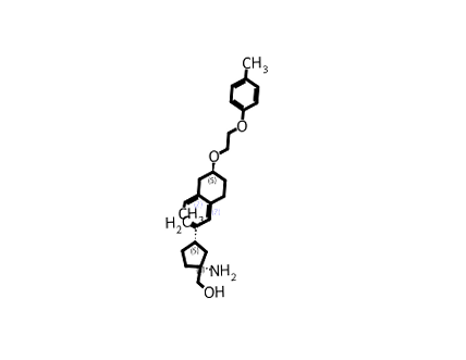 C=C(/C=C1/CC[C@H](OCCOc2ccc(C)cc2)C/C1=C/C)[C@H]1CC[C@](N)(CO)C1